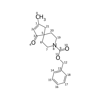 CC1=CC(=O)C2(CCN(C(=O)OCc3ccccc3)CC2)C1